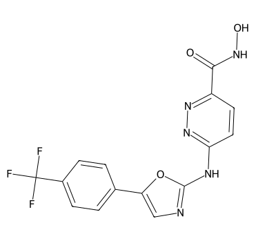 O=C(NO)c1ccc(Nc2ncc(-c3ccc(C(F)(F)F)cc3)o2)nn1